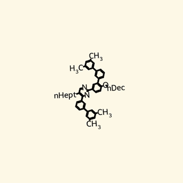 CCCCCCCCCCOc1ccc(-c2ncc(CCCCCCC)c(-c3cccc(-c4cc(C)cc(C)c4)c3)n2)cc1-c1cccc(-c2cc(C)cc(C)c2)c1